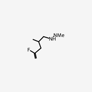 C=C(F)CC(C)CNNC